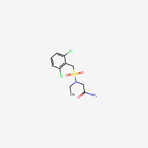 N#CCN(CC(N)=O)S(=O)(=O)Cc1c(Cl)cccc1Cl